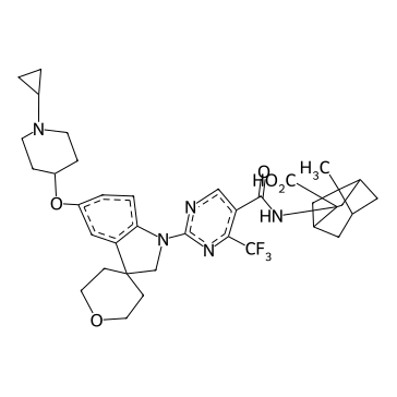 CC12CC3CC1CC2CC3(NC(=O)c1cnc(N2CC3(CCOCC3)c3cc(OC4CCN(C5CC5)CC4)ccc32)nc1C(F)(F)F)C(=O)O